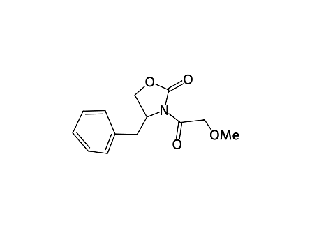 COCC(=O)N1C(=O)OCC1Cc1ccccc1